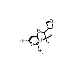 Nc1nc(Cl)cc(OC(C2COC2)C(F)(F)F)n1